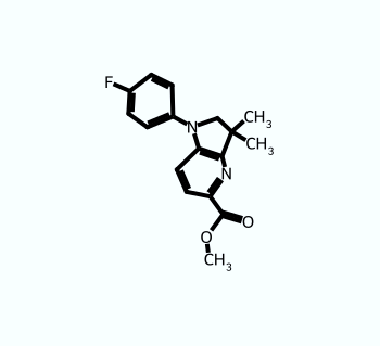 COC(=O)c1ccc2c(n1)C(C)(C)CN2c1ccc(F)cc1